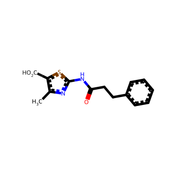 Cc1nc(NC(=O)CCc2ccccc2)sc1C(=O)O